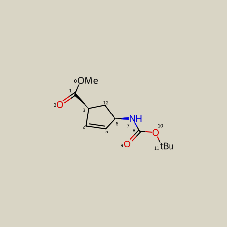 COC(=O)[C@@H]1C=C[C@H](NC(=O)OC(C)(C)C)C1